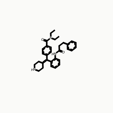 CCN(CC)C(=O)c1ccc(C(=C2CCNCC2)c2ccccc2NC(=O)CCc2ccccc2)cc1